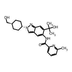 Cc1cccc(C(=O)Nc2cc3cn([C@H]4CC[C@H](CO)CC4)nc3cc2C(C)(C)O)n1